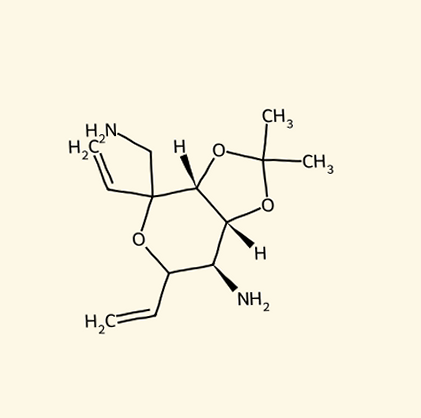 C=CC1OC(C=C)(CN)[C@@H]2OC(C)(C)O[C@@H]2[C@H]1N